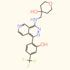 Oc1cc(C(F)(F)F)ccc1-c1nnc(NCC2(O)CCOCC2)c2cnccc12